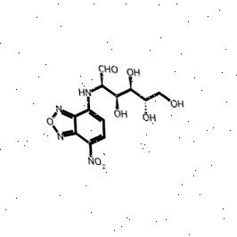 O=C[C@H](Nc1ccc([N+](=O)[O-])c2nonc12)[C@H](O)[C@@H](O)[C@@H](O)CO